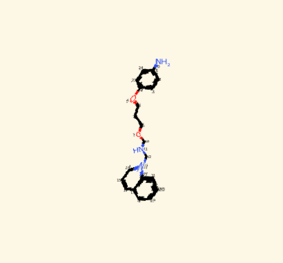 Nc1ccc(OCCCOCNCN2CC=Cc3ccccc32)cc1